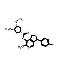 CO[C@H]1C[C@@H](C(=O)Oc2c(C)ncc3c2COC3c2ccc(Cl)cc2)C[C@H]1O[N+](=O)[O-]